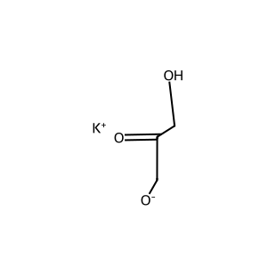 O=C(C[O-])CO.[K+]